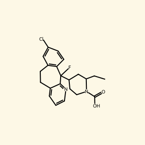 CCC1CC(C2(F)c3ccc(Cl)cc3CCc3cccnc32)CCN1C(=O)O